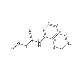 COCC(=O)Nc1cccc2c1CCN=C2